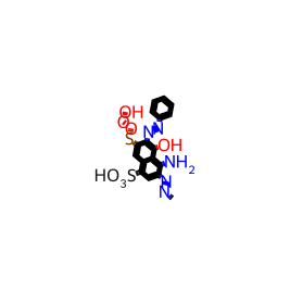 CN=Nc1cc(S(=O)(=O)O)c2cc(SOOO)c(N=Nc3ccccc3)c(O)c2c1N